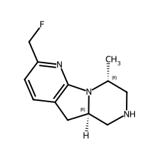 C[C@@H]1CNC[C@H]2Cc3ccc(CF)nc3N21